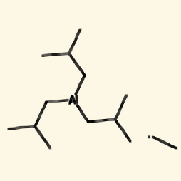 CC(C)[CH2][Al]([CH2]C(C)C)[CH2]C(C)C.[CH2]C